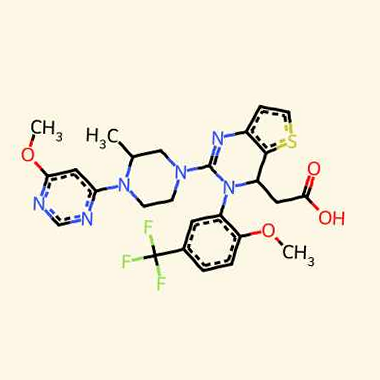 COc1cc(N2CCN(C3=Nc4ccsc4C(CC(=O)O)N3c3cc(C(F)(F)F)ccc3OC)CC2C)ncn1